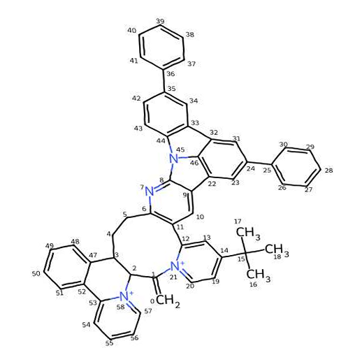 C=C1C2C(CCc3nc4c(cc3-c3cc(C(C)(C)C)cc[n+]31)c1cc(-c3ccccc3)cc3c5cc(-c6ccccc6)ccc5n4c31)c1ccccc1-c1cccc[n+]12